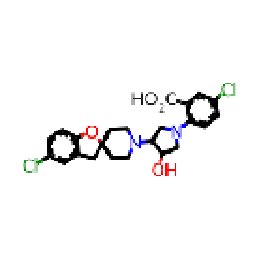 O=C(O)c1cc(Cl)ccc1N1CC(O)C(N2CCC3(CC2)Cc2cc(Cl)ccc2O3)C1